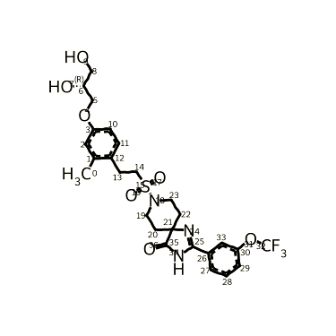 Cc1cc(OC[C@H](O)CO)ccc1CCS(=O)(=O)N1CCC2(CC1)N=C(c1cccc(OC(F)(F)F)c1)NC2=O